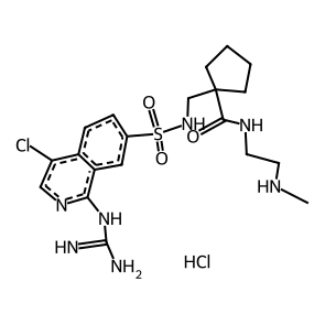 CNCCNC(=O)C1(CNS(=O)(=O)c2ccc3c(Cl)cnc(NC(=N)N)c3c2)CCCC1.Cl